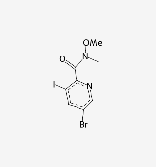 CON(C)C(=O)c1ncc(Br)cc1I